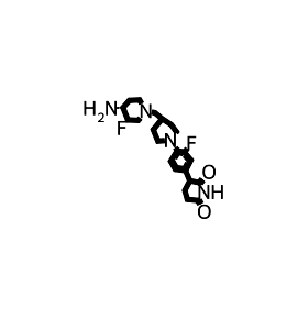 N[C@@H]1CCN(CC2CCN(c3ccc(C4CCC(=O)NC4=O)cc3F)CC2)C[C@@H]1F